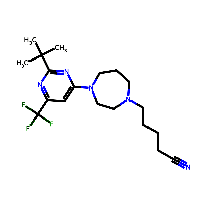 CC(C)(C)c1nc(N2CCCN(CCCCC#N)CC2)cc(C(F)(F)F)n1